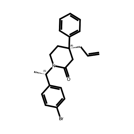 C=CC[C@@]1(c2ccccc2)CCN([C@@H](C)c2ccc(Br)cc2)C(=O)C1